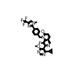 COc1ncnc(C2CC2)c1-c1ncc2ccc(=O)n(Cc3ccc(-c4nc(C(F)(F)F)cn4C)cc3)c2c1F